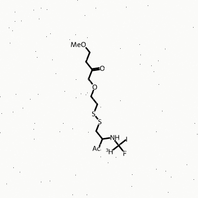 [3H]C(F)(I)NC(CSSCCOCC(=O)CCOC)C(C)=O